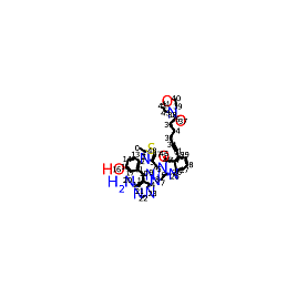 Cc1nc(Cn2c(Cn3nc(-c4cccc(O)c4)c4c(N)ncnc43)nc3cccc(C#CCCCC(=O)N4CCOCC4)c3c2=O)cs1